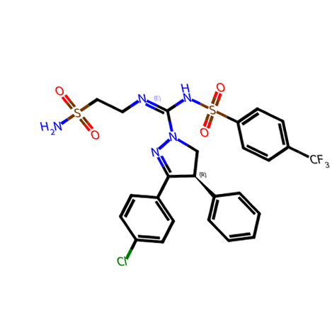 NS(=O)(=O)CC/N=C(/NS(=O)(=O)c1ccc(C(F)(F)F)cc1)N1C[C@@H](c2ccccc2)C(c2ccc(Cl)cc2)=N1